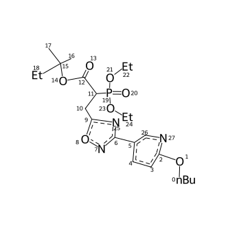 CCCCOc1ccc(-c2noc(CC(C(=O)OC(C)(C)CC)P(=O)(OCC)OCC)n2)cn1